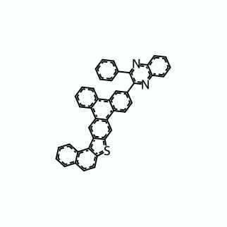 c1ccc(-c2nc3ccccc3nc2-c2ccc3c(c2)c2ccccc2c2cc4c(cc32)sc2ccc3ccccc3c24)cc1